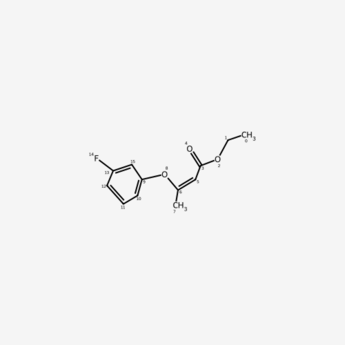 CCOC(=O)/C=C(/C)Oc1cccc(F)c1